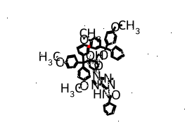 COc1ccc(C(OC[C@H]2O[C@@H](n3cnc4c(NC(=O)c5ccccc5)ncnc43)C[C@@]2(O)C(c2ccccc2)(c2ccc(OC)cc2)c2ccc(OC)cc2)(c2ccccc2)c2ccc(OC)cc2)cc1